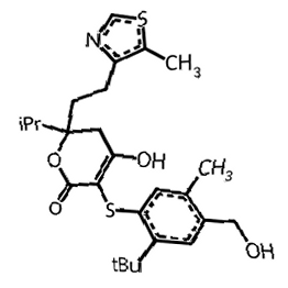 Cc1cc(SC2=C(O)CC(CCc3ncsc3C)(C(C)C)OC2=O)c(C(C)(C)C)cc1CO